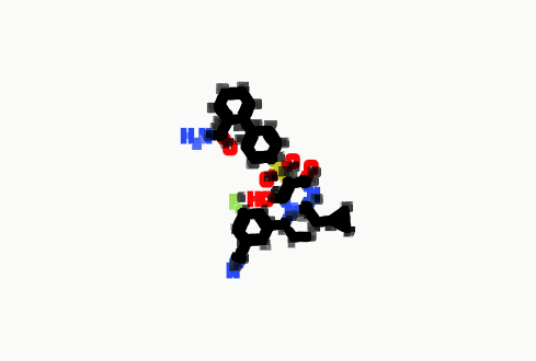 CC[C@@H](c1cc(F)cc(C#N)c1)n1c(CC2CC2)nc(=O)c(S(=O)(=O)c2ccc(-c3ccccc3C(N)=O)cc2)c1O